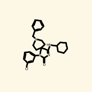 O=C1N=C(NC2CCCCC2)C2(CCN(Cc3ccccc3)CC2)N1c1cccc(Cl)c1